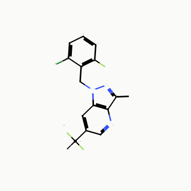 Cc1nn(Cc2c(F)cccc2Cl)c2cc(C(F)(F)C(=O)O)cnc12